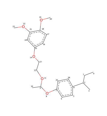 CCC(C)c1ccc(OC(C)OCCOc2ccc(OC)c(OC)c2)cc1